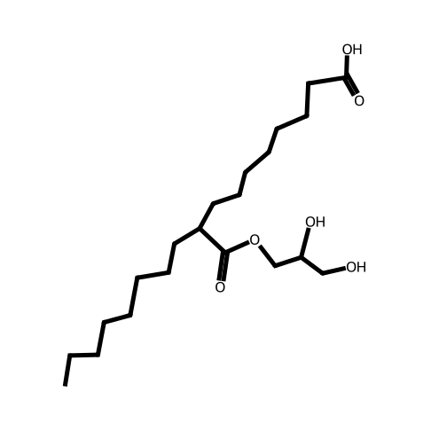 CCCCCCCCC(CCCCCCCC(=O)O)C(=O)OCC(O)CO